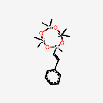 C[Si]1(C)O[Si](C)(C)O[Si](C)(C=Cc2ccccc2)O[Si](C)(C)O1